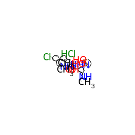 CCNc1cc(C(=O)N[C@@H](Cc2ccccc2)[C@@H](O)CNC(C)(C)Cc2cccc(Cl)c2)cc(N2CCCCS2(O)O)c1.Cl